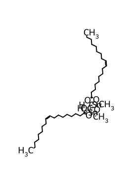 CCCCCCCC/C=C\CCCCCCCC(=O)[O][Sn]([CH3])([CH3])[O][Sn]([CH3])([CH3])[O]C(=O)CCCCCCC/C=C\CCCCCCCC